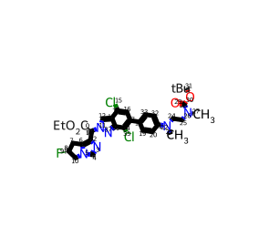 CCOC(=O)[C@@H](c1ncn2c1C[C@@H](F)C2)n1cc2c(Cl)cc(-c3ccc(N(C)CCN(C)C(=O)OC(C)(C)C)cc3)c(Cl)c2n1